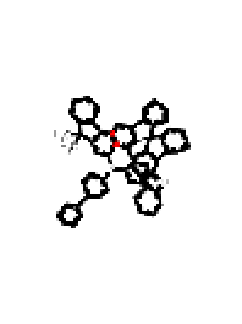 CC1(C)c2ccccc2-c2ccc(N(c3ccc(-c4ccccc4)cc3)c3ccccc3-c3cccc4c3[C@@]3(c5ccccc5-4)c4ccccc4-c4c3ccc3c4oc4ccccc43)cc21